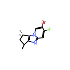 CC1C[C@H](C)c2c1nc1cc(F)c(Br)cn21